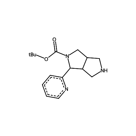 CC(C)(C)OC(=O)N1CC2CNCC2C1c1ccccn1